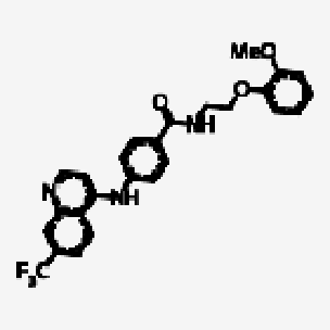 COc1ccccc1OCCNC(=O)c1ccc(Nc2ccnc3cc(C(F)(F)F)ccc23)cc1